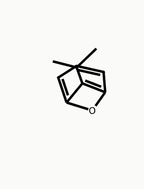 CC(C)c1c2cccc1O2